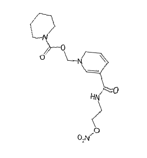 O=C(NCCO[N+](=O)[O-])C1=CN(COC(=O)N2CCCCC2)CC=C1